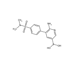 CN(C)S(=O)(=O)c1ccc(-c2cc(B(O)O)cnc2N)cc1